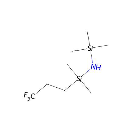 C[Si](C)(C)N[Si](C)(C)CCC(F)(F)F